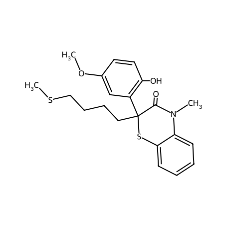 COc1ccc(O)c(C2(CCCCSC)Sc3ccccc3N(C)C2=O)c1